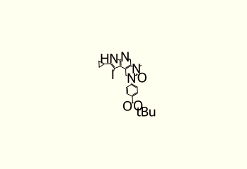 CN1C(=O)N(c2ccc(C(=O)OC(C)(C)C)cc2)Cc2c1cnc1[nH]c(C3CC3)c(I)c21